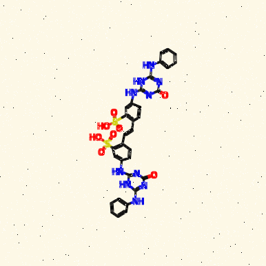 O=c1nc(Nc2ccccc2)[nH]c(Nc2ccc(C=Cc3ccc(Nc4nc(=O)nc(Nc5ccccc5)[nH]4)cc3S(=O)(=O)O)c(S(=O)(=O)O)c2)n1